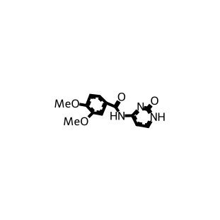 COc1ccc(C(=O)Nc2cc[nH]c(=O)n2)cc1OC